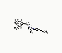 C=C(C)C(=O)OCC(CCCC/C(CC)=C(F)/C(F)=C(C)/C=C/c1ccc(CCCCC)cc1)COC(=O)C(=C)CO